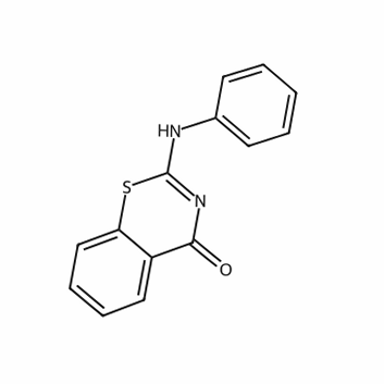 O=c1nc(Nc2ccccc2)sc2ccccc12